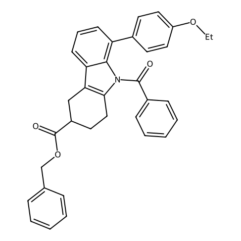 CCOc1ccc(-c2cccc3c4c(n(C(=O)c5ccccc5)c23)CCC(C(=O)OCc2ccccc2)C4)cc1